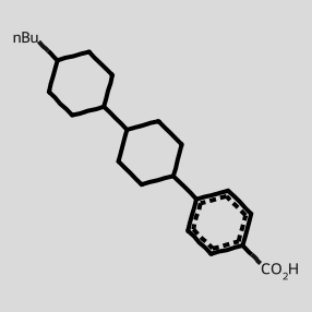 CCCCC1CCC(C2CCC(c3ccc(C(=O)O)cc3)CC2)CC1